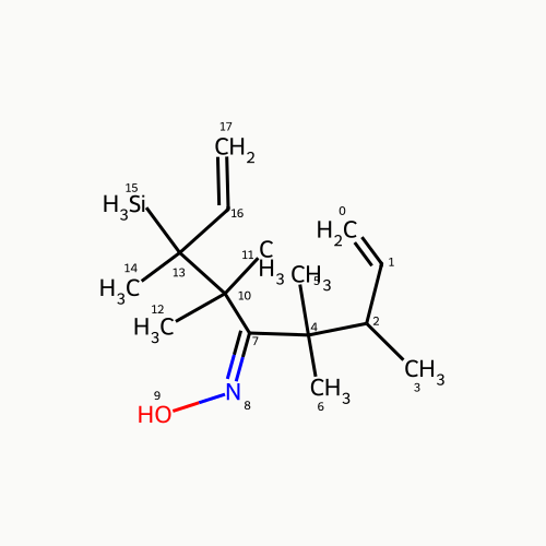 C=CC(C)C(C)(C)C(=NO)C(C)(C)C(C)([SiH3])C=C